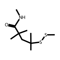 CNC(=O)C(C)(C)CC(C)(C)SSC